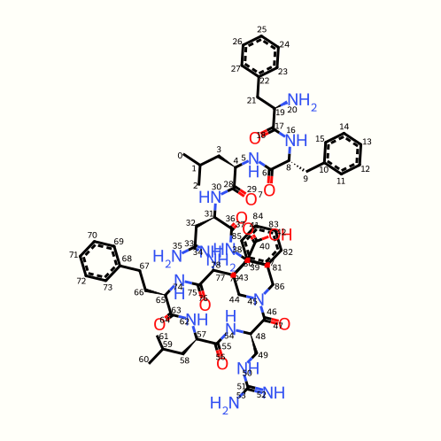 CC(C)C[C@@H](NC(=O)[C@@H](Cc1ccccc1)NC(=O)[C@H](N)Cc1ccccc1)C(=O)N[C@H](CC(=N)N)C(=O)NC1(C(=O)O)CCN(C(=O)[C@@H](CNC(=N)N)NC(=O)[C@@H](CC(C)C)NC(=O)[C@@H](CCc2ccccc2)NC(=O)[C@H](N)Cc2ccccc2)CC1